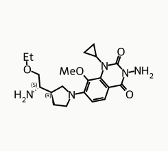 CCOC[C@@H](N)[C@@H]1CCN(c2ccc3c(=O)n(N)c(=O)n(C4CC4)c3c2OC)C1